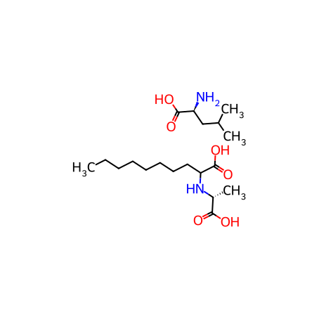 CC(C)C[C@H](N)C(=O)O.CCCCCCCCC(N[C@H](C)C(=O)O)C(=O)O